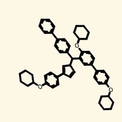 C1=CC(C(c2ccc(-c3ccccc3)cc2)c2cc(-c3ccc(OC4CCCCC4)cc3)ccc2OC2CCCCC2)C=C1c1ccc(OC2CCCCC2)cc1